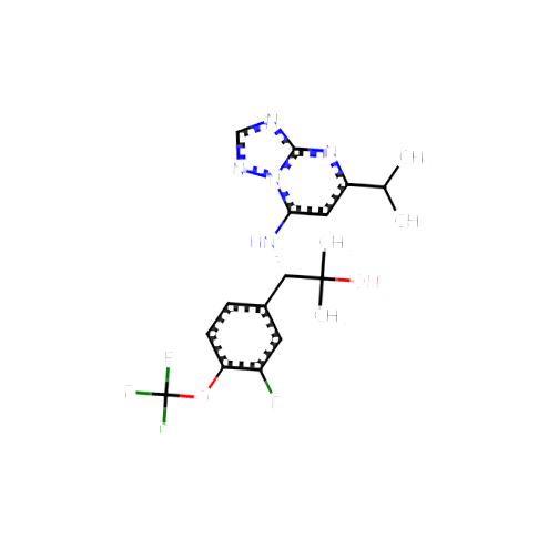 CC(C)c1cc(N[C@@H](c2ccc(OC(F)(F)F)c(F)c2)C(C)(C)O)n2ncnc2n1